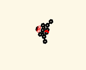 CC1(C)OB(c2cc([Si](c3ccccc3)(c3ccccc3)c3ccc(-c4ccccc4)cc3)cc([Si](c3ccccc3)(c3ccccc3)c3ccc(-c4ccccc4)cc3)c2)OC1(C)C